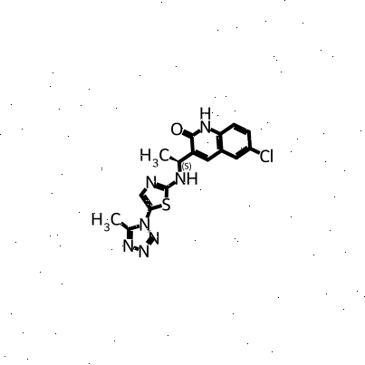 Cc1nnnn1-c1cnc(N[C@@H](C)c2cc3cc(Cl)ccc3[nH]c2=O)s1